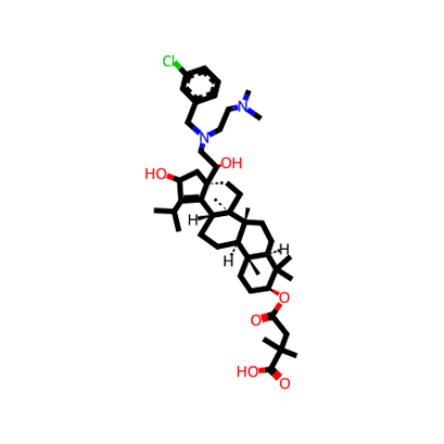 CC(C)C1=C2[C@H]3CC[C@@H]4[C@@]5(C)CC[C@H](OC(=O)CC(C)(C)C(=O)O)C(C)(C)[C@@H]5CC[C@@]4(C)[C@]3(C)CC[C@@]2([C@@H](O)CN(CCN(C)C)Cc2cccc(Cl)c2)CC1O